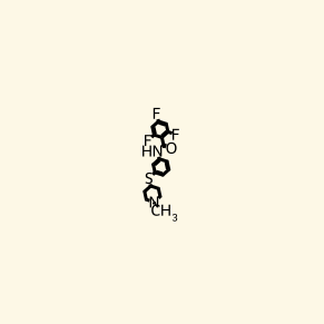 CN1CCC(Sc2cccc(NC(=O)c3c(F)cc(F)cc3F)c2)CC1